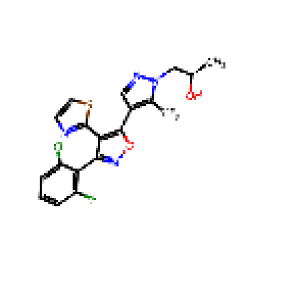 C[C@@H](O)Cn1ncc(-c2onc(-c3c(F)cccc3Cl)c2-c2nccs2)c1C(F)(F)F